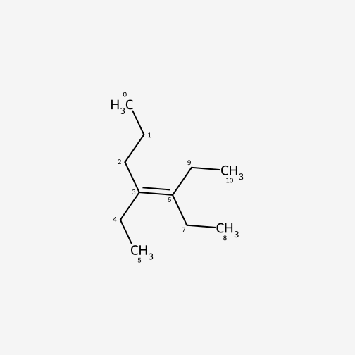 CCCC(CC)=C(CC)CC